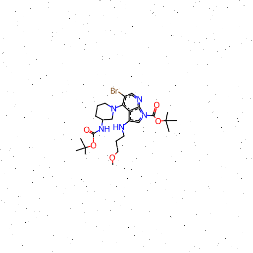 COCCCNc1cn(C(=O)OC(C)(C)C)c2ncc(Br)c(N3CCCC(NC(=O)OC(C)(C)C)C3)c12